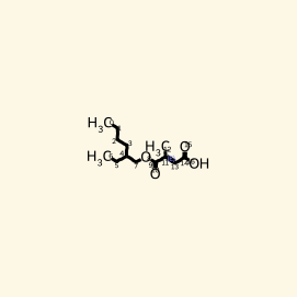 CCCCC(CC)COC(=O)/C(C)=C/C(=O)O